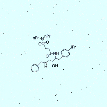 CCCN(CCC)S(=O)(=O)CCC(=O)N[C@@H](Cc1ccc(C(C)C)cc1)[C@H](O)CNCc1ccccc1